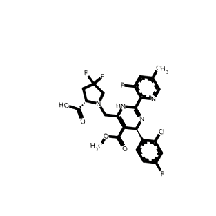 COC(=O)C1=C(CN2CC(F)(F)C[C@H]2C(=O)O)NC(c2ncc(C)cc2F)=N[C@H]1c1ccc(F)cc1Cl